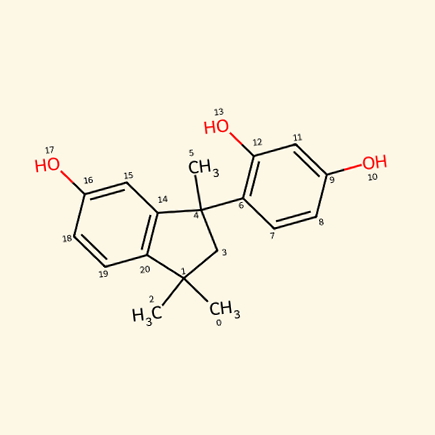 CC1(C)CC(C)(c2ccc(O)cc2O)c2cc(O)ccc21